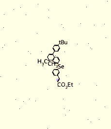 CCOC(=O)/C=C/c1cccc([Se]c2ccc3c(c2)C(C)(C)CC=C3c2ccc(C(C)(C)C)cc2)c1